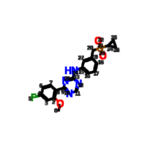 COc1cc(F)ccc1-c1ncnc(Nc2cccc(CS(=O)(=O)C3CC3)c2)n1